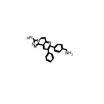 CCCc1nnc2c3cc(-c4ccccc4)c(-c4ccc(CN)cc4)nc3ccn12